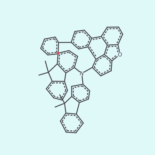 CC1(C)c2ccccc2-c2ccc(N(c3cccc4c3-c3ccccc3C4(C)C)c3ccc4oc5cccc6c7ccc(-c8ccccc8)cc7c3c4c56)cc21